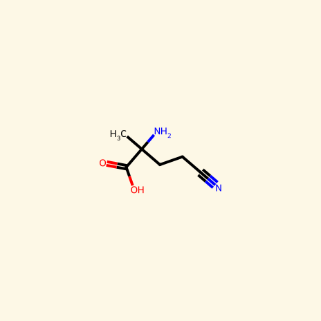 CC(N)(CCC#N)C(=O)O